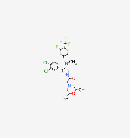 CC1CN(CC(=O)N2C[C@H](c3ccc(Cl)c(Cl)c3)[C@H](N(C)Cc3ccc(C(F)(F)F)c(F)c3)C2)CC(C)O1